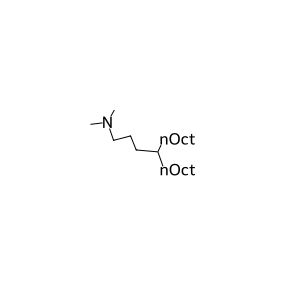 CCCCCCCCC(CCCCCCCC)CCCN(C)C